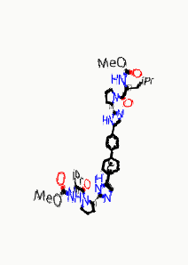 COC(=O)N[C@@H](CC(C)C)C(=O)N1CCC[C@H]1c1ncc(-c2ccc(C34CCC(c5cnc([C@@H]6CCCN6C(=O)[C@@H](NC(=O)OC)C(C)C)[nH]5)(CC3)CC4)cc2)[nH]1